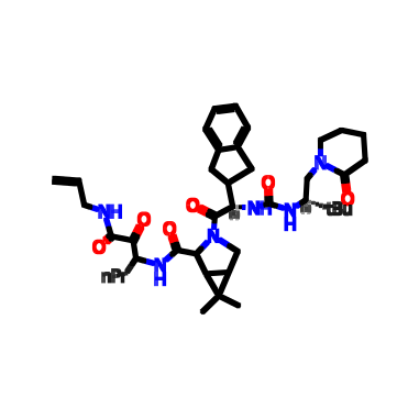 C=CCNC(=O)C(=O)C(CCC)NC(=O)C1C2C(CN1C(=O)[C@@H](NC(=O)N[C@H](CN1CCCCC1=O)C(C)(C)C)C1Cc3ccccc3C1)C2(C)C